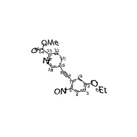 CCOc1ccc(N=O)c(C#Cc2ccc(C(=O)OC)nc2)c1